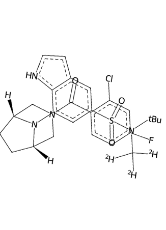 [2H]C([2H])([2H])N(C(C)(C)C)S(=O)(=O)c1cc(N2[C@@H]3CC[C@H]2CN(C(=O)c2ccc(F)cc2Cl)C3)c2[nH]ccc2c1